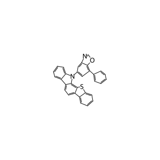 c1ccc(-c2cc(-n3c4ccccc4c4ccc5c6ccccc6sc5c43)cc3ncoc23)cc1